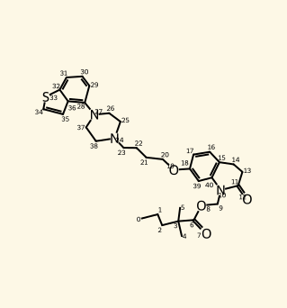 CCCC(C)(C)C(=O)OCN1C(=O)CCc2ccc(OCCCCN3CCN(c4cccc5sccc45)CC3)cc21